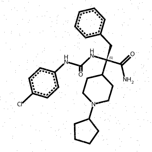 NC(=O)[C@@](Cc1ccccc1)(NC(=O)Nc1ccc(Cl)cc1)C1CCN(C2CCCC2)CC1